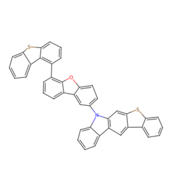 c1ccc2c(c1)sc1cc3c(cc12)c1ccccc1n3-c1ccc2oc3c(-c4cccc5sc6ccccc6c45)cccc3c2c1